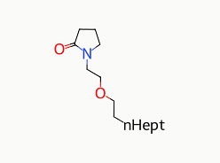 CCCCCCCCCOCCN1CCCC1=O